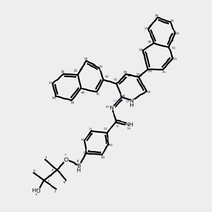 CC(C)(O)C(C)(C)OBc1ccc(C(=N)/N=c2\[nH]cc(-c3ccc4ccccc4c3)cc2-c2ccc3ccccc3c2)cc1